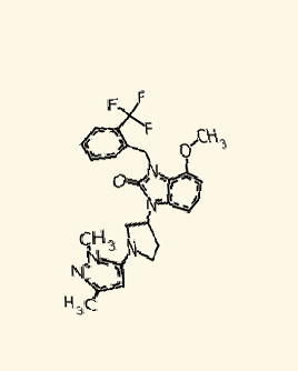 COc1cccc2c1n(Cc1ccccc1C(F)(F)F)c(=O)n2C1CCN(c2cc(C)nn2C)C1